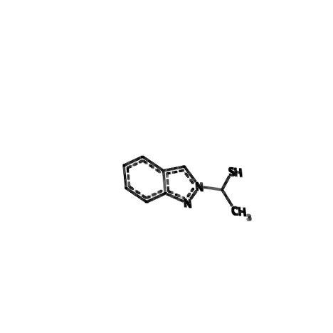 CC(S)n1cc2ccccc2n1